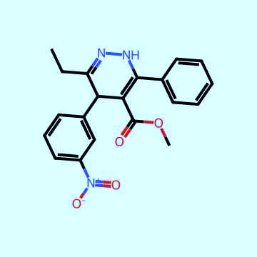 CCC1=NNC(c2ccccc2)=C(C(=O)OC)C1c1cccc([N+](=O)[O-])c1